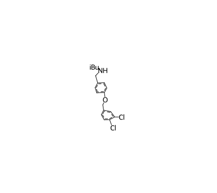 CCC(C)NCc1ccc(OCc2ccc(Cl)c(Cl)c2)cc1